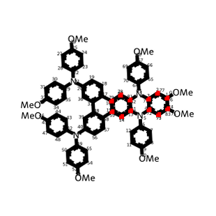 COc1ccc(N(c2ccc(OC)cc2)c2ccc(-c3ccc(N(c4ccc(OC)cc4)c4ccc(OC)cc4)cc3-c3cc(N(c4ccc(OC)cc4)c4ccc(OC)cc4)ccc3-c3ccc(N(c4ccc(OC)cc4)c4ccc(OC)cc4)cc3)cc2)cc1